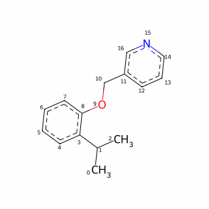 CC(C)c1ccccc1OCc1cccnc1